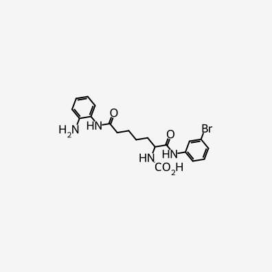 Nc1ccccc1NC(=O)CCCCC(NC(=O)O)C(=O)Nc1cccc(Br)c1